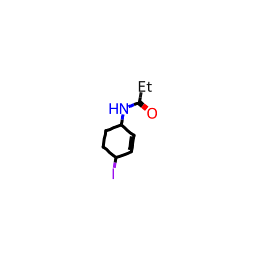 CCC(=O)NC1C=CC(I)CC1